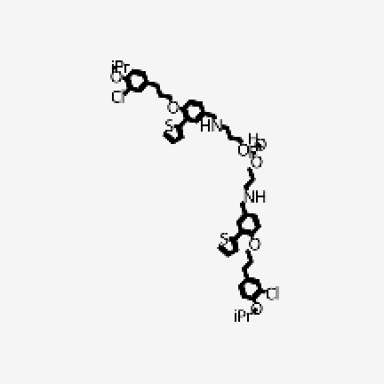 CC(C)Oc1ccc(CCCOc2ccc(CNCCCO[PH](=O)OCCCNCc3ccc(OCCCc4ccc(OC(C)C)c(Cl)c4)c(-c4cccs4)c3)cc2-c2cccs2)cc1Cl